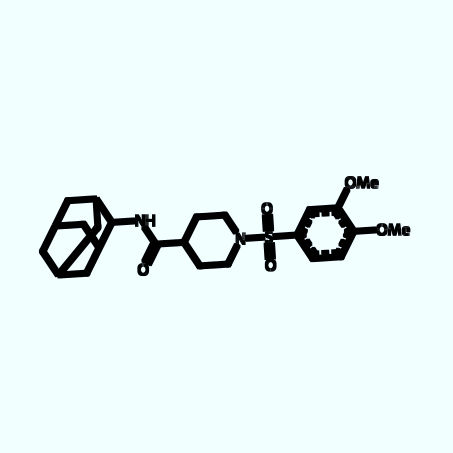 COc1ccc(S(=O)(=O)N2CCC(C(=O)NC3C4CC5CC(C4)CC3C5)CC2)cc1OC